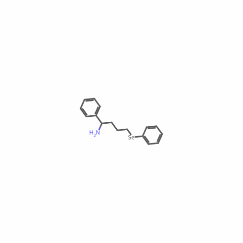 NC(CCC[Se]c1ccccc1)c1ccccc1